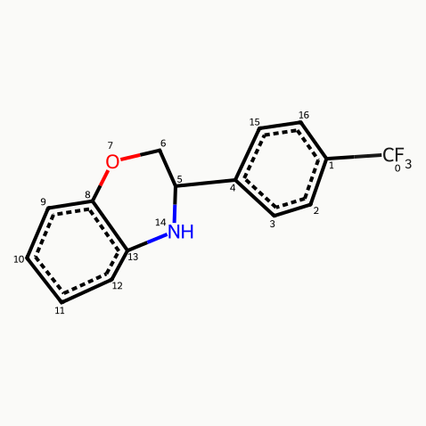 FC(F)(F)c1ccc(C2COc3ccccc3N2)cc1